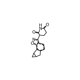 O=C1CCC(c2noc3c4c(ccc23)CC2CC42)C(=O)N1